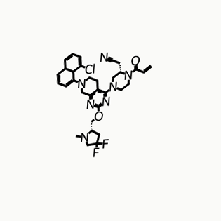 C=CC(=O)N1CCN(c2nc(OC[C@@H]3CC(F)(F)CN3C)nc3c2CCN(C2=CC=CC4C=CC=C(Cl)C24)C3)C[C@@H]1CC#N